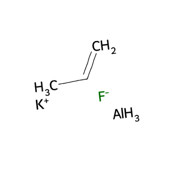 C=CC.[AlH3].[F-].[K+]